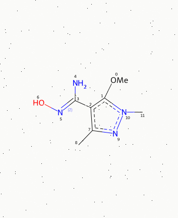 COc1c(/C(N)=N/O)c(C)nn1C